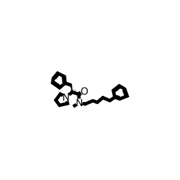 CN(CCCCCc1ccccc1)C(=O)[C@H](Cc1ccccc1)N1CCCC1